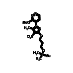 COc1nnccc1-n1nc(OCCCO[Si](C)(C)C(C)(C)C)c([N+](=O)[O-])c1C